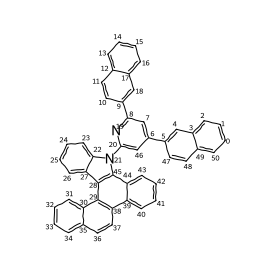 c1ccc2cc(-c3cc(-c4ccc5ccccc5c4)nc(-n4c5ccccc5c5c6c7ccccc7ccc6c6ccccc6c54)c3)ccc2c1